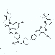 COc1cc2nc([C@H]3CC[C@H](CN(C)C4CCN(c5cc(Cl)cc6c5n(C)c(=O)n6C5CCC(=O)NC5=O)CC4)CC3)sc2cc1NC(=O)c1cccc(C(F)(F)F)n1